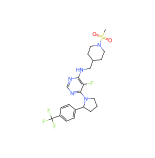 CS(=O)(=O)N1CCC(CNc2ncnc(N3CCCC3c3ccc(C(F)(F)F)cc3)c2F)CC1